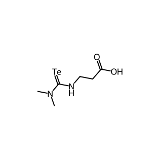 CN(C)C(=[Te])NCCC(=O)O